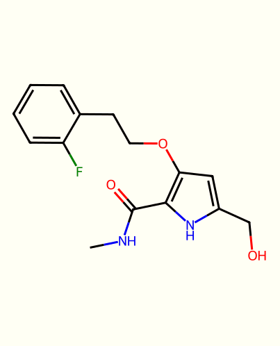 CNC(=O)c1[nH]c(CO)cc1OCCc1ccccc1F